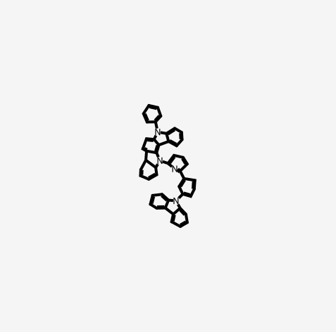 C1=CC2c3ccc4c(c3N(c3cccc(-c5cccc(-n6c7ccccc7c7ccccc76)c5)n3)C2C=C1)c1ccccc1n4-c1ccccc1